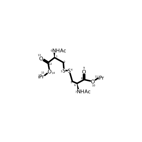 CC(=O)N[C@@H](CSSC[C@H](NC(C)=O)C(=O)OC(C)C)C(=O)OC(C)C